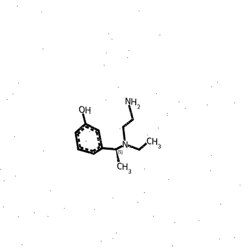 CCN(CCN)[C@@H](C)c1cccc(O)c1